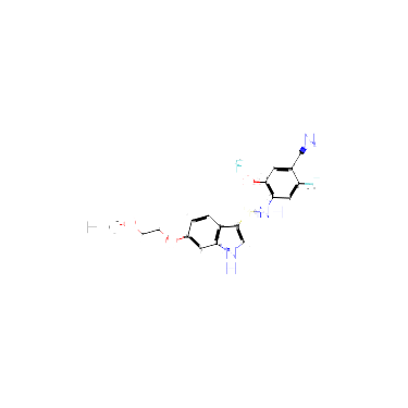 COCCOc1ccc2c(SNc3cc(F)c(C#N)cc3OF)c[nH]c2c1